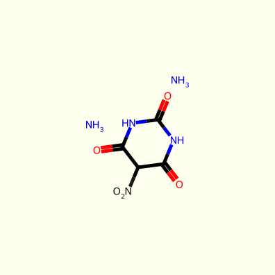 N.N.O=C1NC(=O)C([N+](=O)[O-])C(=O)N1